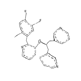 Cc1cc(F)c(F)cc1-c1ncccc1OC(c1cccnc1)c1cccnc1